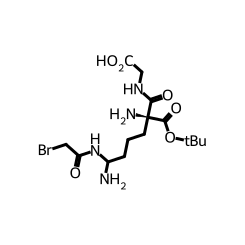 CC(C)(C)OC(=O)[C@](N)(CCCC(N)NC(=O)CBr)C(=O)NCC(=O)O